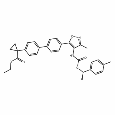 CCOC(=O)C1(c2ccc(-c3ccc(-c4onc(C)c4NC(=O)O[C@H](C)c4ccc(C)cc4)cc3)cc2)CC1